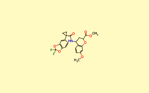 COC(=O)C1CC(NC(=O)C2(c3ccc4c(c3)OC(F)(F)O4)CC2)c2ccc(OC)cc2O1